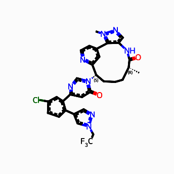 C[C@@H]1CCC[C@H](n2cnc(-c3cc(Cl)ccc3-c3cnn(CC(F)(F)F)c3)cc2=O)c2cc(ccn2)-c2c(cnn2C)NC1=O